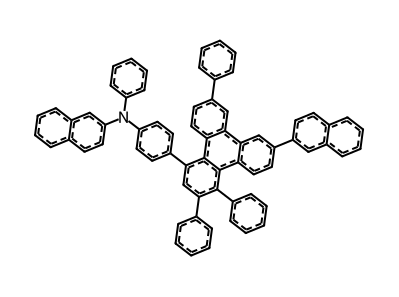 c1ccc(-c2ccc3c(c2)c2cc(-c4ccc5ccccc5c4)ccc2c2c(-c4ccccc4)c(-c4ccccc4)cc(-c4ccc(N(c5ccccc5)c5ccc6ccccc6c5)cc4)c32)cc1